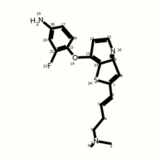 CN(C)CCC=Cc1cc2nccc(Oc3ccc(N)cc3F)c2s1